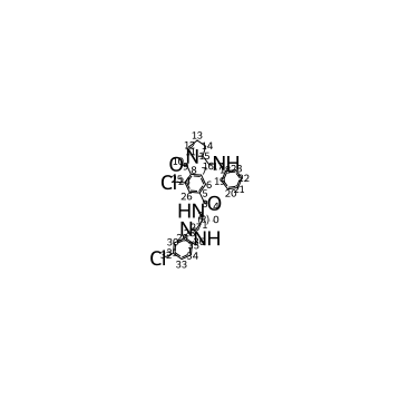 C[C@@H](NC(=O)c1ccc(C(=O)N2CCCC2CNc2ccccc2)c(Cl)c1)c1nc2cc(Cl)ccc2[nH]1